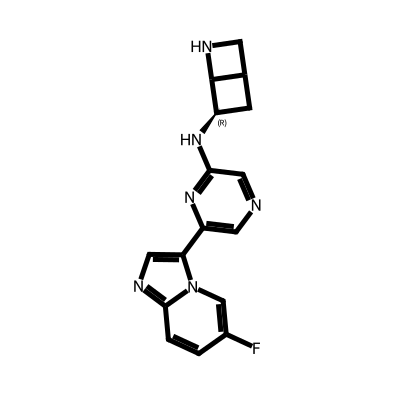 Fc1ccc2ncc(-c3cncc(N[C@@H]4CC5CNC54)n3)n2c1